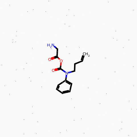 C=CCCN(C(=O)OC(=O)CN)c1ccccc1